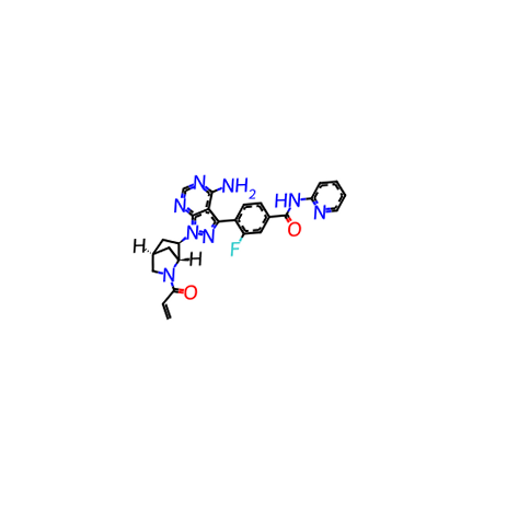 C=CC(=O)N1C[C@@H]2C[C@@H]1[C@H](n1nc(-c3ccc(C(=O)Nc4ccccn4)cc3F)c3c(N)ncnc31)C2